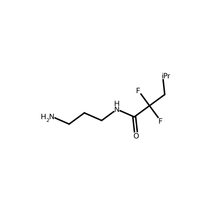 CC(C)CC(F)(F)C(=O)NCCCN